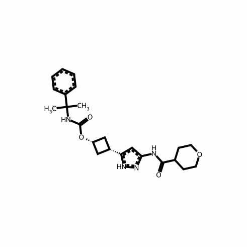 CC(C)(NC(=O)O[C@H]1C[C@@H](c2cc(NC(=O)C3CCOCC3)n[nH]2)C1)c1ccccc1